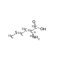 [13CH3]S[13CH2][13CH2][13C@H]([15NH2])[13C](=O)O